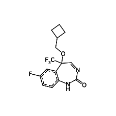 O=C1N=CC(OCC2CCC2)(C(F)(F)F)c2cc(F)ccc2N1